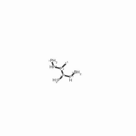 BPP(P)P(I)PP